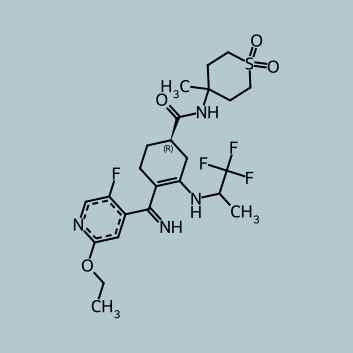 CCOc1cc(C(=N)C2=C(NC(C)C(F)(F)F)C[C@H](C(=O)NC3(C)CCS(=O)(=O)CC3)CC2)c(F)cn1